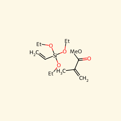 C=C(C)C(=O)OC.C=C[Si](OCC)(OCC)OCC